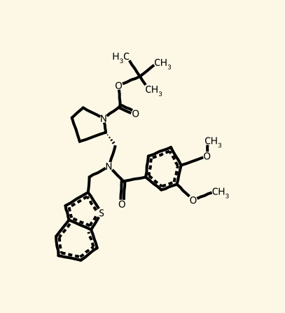 COc1ccc(C(=O)N(Cc2cc3ccccc3s2)C[C@@H]2CCCN2C(=O)OC(C)(C)C)cc1OC